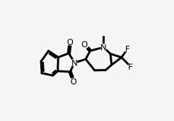 CN1C(=O)C(N2C(=O)c3ccccc3C2=O)CCC2C1C2(F)F